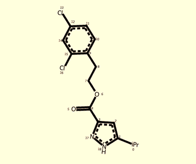 CC(C)c1cc(C(=O)OCCc2ccc(Cl)cc2Cl)n[nH]1